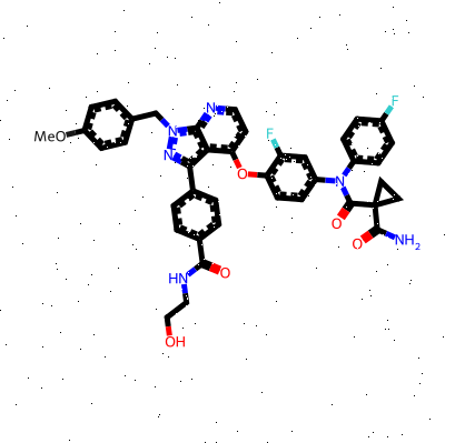 COc1ccc(Cn2nc(-c3ccc(C(=O)NCCO)cc3)c3c(Oc4ccc(N(C(=O)C5(C(N)=O)CC5)c5ccc(F)cc5)cc4F)ccnc32)cc1